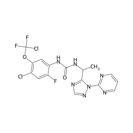 CC(NC(=O)Nc1cc(OC(F)(F)Cl)c(Cl)cc1F)c1ncnn1-c1ncccn1